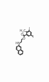 Cc1c(I)cc(I)cc1C(=O)OCCNc1ccc2ccccc2c1